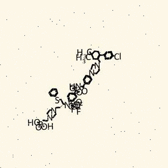 CC1(C)CCC(c2ccc(Cl)cc2)=C(CN2CCN(c3ccc(C(=O)NS(=O)(=O)c4ccc(N[C@H](CCN5CCN(CCP(=O)(O)O)CC5)CSc5ccccc5)c(S(=O)(=O)C(F)(F)F)c4)cc3)CC2)C1